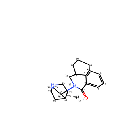 O=C1c2cccc3c2C(CCC3)CN1[C@@H]1CN2CCC1CC2